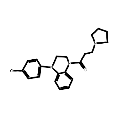 O=C(CCN1CCCC1)N1CCN(c2ccc(Cl)cc2)c2ccccc21